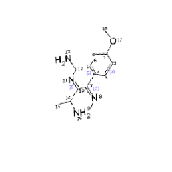 C=C(\C=C/C(=C\C)C(=N/C)/C(=N\CN)C(C)N)OC